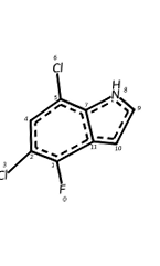 Fc1c(Cl)cc(Cl)c2[nH]ccc12